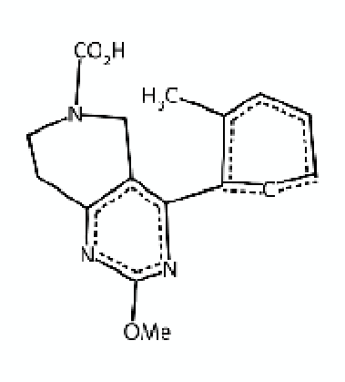 COc1nc2c(c(-c3ccccc3C)n1)CN(C(=O)O)CC2